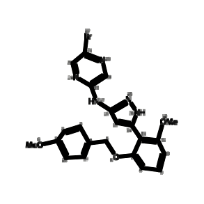 COc1ccc(COc2cccc(OC)c2-c2cc(Nc3cnc(Br)cn3)n[nH]2)cc1